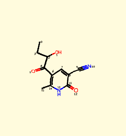 CCC(O)C(=O)c1cc(C#N)c(=O)[nH]c1C